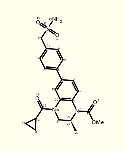 COC(=O)N1c2ccc(-c3ccc(CS(N)(=O)=O)cc3)cc2N(C(=O)C2CC2)C[C@@H]1C